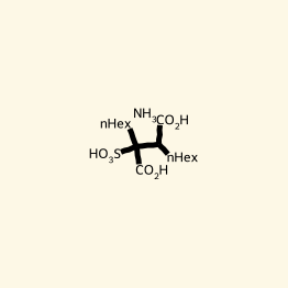 CCCCCCC(C(=O)O)C(CCCCCC)(C(=O)O)S(=O)(=O)O.N